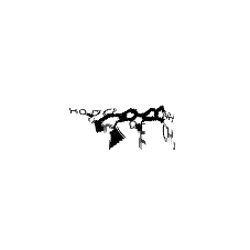 CC1NCc2cc(-c3ccc4c(=O)c(OC(=O)O)cn(C5CC5)c4c3OC(F)F)ccc21